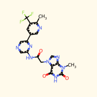 Cc1ncc(-c2cncc(NC(=O)Cn3cnc4c3c(=O)[nH]c(=O)n4C)n2)cc1C(F)(F)F